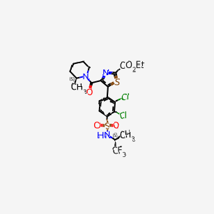 CCOC(=O)c1nc(C(=O)N2CCCC[C@@H]2C)c(-c2ccc(S(=O)(=O)N[C@@H](C)C(F)(F)F)c(Cl)c2Cl)s1